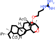 CC(=O)O[C@@H]1C[C@@]23COC[C@@](C)([C@@H]2CC[C@H]2C3=CC[C@@]3(C)[C@H](C(=O)O)[C@@](C)([C@H](C)C(C)C)CC[C@]23C)[C@H]1OCCCNC(=N)N